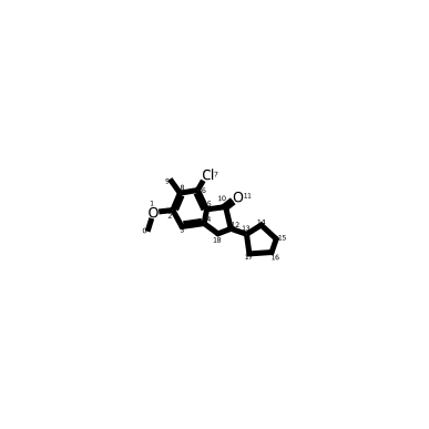 COc1cc2c(c(Cl)c1C)C(=O)C(C1CCCC1)C2